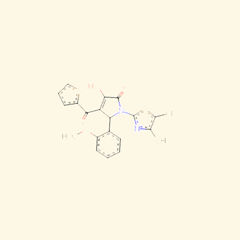 COc1ccccc1C1C(C(=O)c2cccs2)=C(O)C(=O)N1c1nc(C)c(C)s1